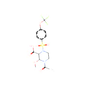 COC1C(C(=O)O)N(S(=O)(=O)c2ccc(OC(F)(F)F)cc2)CCN1C(C)=O